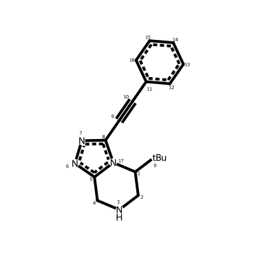 CC(C)(C)C1CNCc2nnc(C#Cc3ccccc3)n21